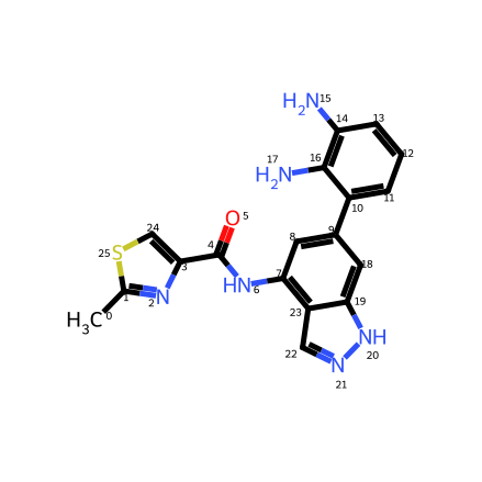 Cc1nc(C(=O)Nc2cc(-c3cccc(N)c3N)cc3[nH]ncc23)cs1